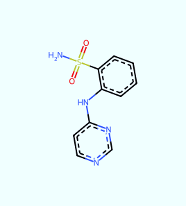 NS(=O)(=O)c1ccccc1Nc1ccncn1